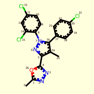 Cc1nnc(-c2nn(-c3ccc(Cl)cc3Cl)c(-c3ccc(Cl)cc3)c2C)o1